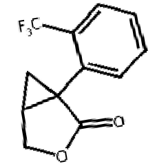 O=C1OCC2CC12c1ccccc1C(F)(F)F